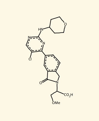 COCC(C(=O)O)N1Cc2ccc(-c3nc(NC4CCOCC4)ncc3Cl)cc2C1=O